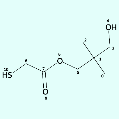 CC(C)(CO)COC(=O)CS